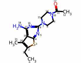 CCc1sc2nc(N3CCN(C(C)=O)CC3)nc(N)c2c1C